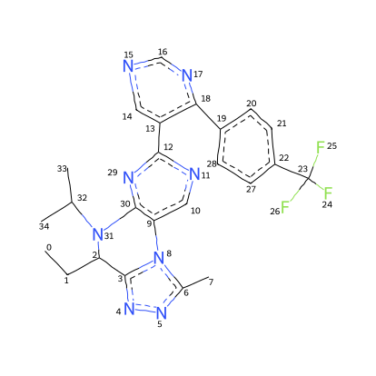 CCC1c2nnc(C)n2-c2cnc(-c3cncnc3-c3ccc(C(F)(F)F)cc3)nc2N1C(C)C